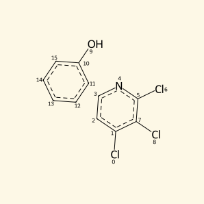 Clc1ccnc(Cl)c1Cl.Oc1ccccc1